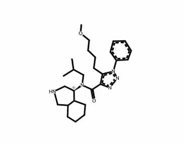 COCCCCc1c(C(=O)N(CC(C)C)[C@@H]2CNCC3CCCCC32)nnn1-c1ccccc1